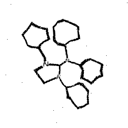 C1CCC(N2CCN(C3CCCCC3)C2N(C2CCCCC2)C2CCCCC2)CC1